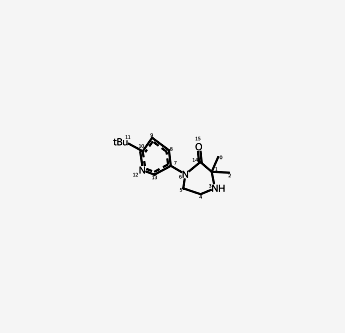 CC1(C)NCCN(c2ccc(C(C)(C)C)nc2)C1=O